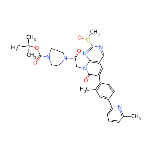 Cc1cccc(-c2ccc(-c3cc4cnc([S+](C)[O-])nc4n(CC(=O)N4CCN(C(=O)OC(C)(C)C)CC4)c3=O)c(C)c2)n1